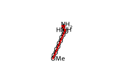 COCCOCCOCCOCCOCCOCCOCCOCCOCCOC(=O)NC(=N)c1ccc(N)cc1